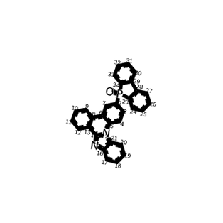 O=P1(c2ccc3c(c2)c2ccccc2c2nc4ccccc4n32)c2ccccc2-c2ccccc21